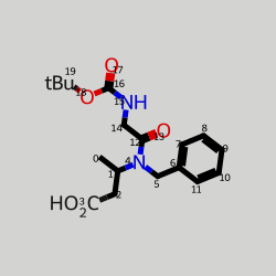 CC(CC(=O)O)N(Cc1ccccc1)C(=O)CNC(=O)OC(C)(C)C